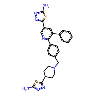 Nc1nnc(-c2cnc(-c3ccc(CN4CCC(c5nnc(N)s5)CC4)cc3)c(-c3ccccc3)c2)s1